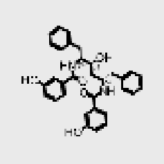 O=C(N[C@@H](Cc1ccccc1)C[C@H](O)[C@H](Cc1ccccc1)NC(=O)c1cccc(O)c1)c1cccc(O)c1